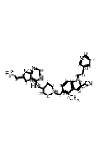 Cc1c(CN2CCC(Nc3ncnc4sc(CC(F)(F)F)cc34)CC2)ccc2c1cc(C#N)n2CCc1cccnc1